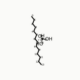 CCCCCCCCCCCCCC.O=[PH](O)O